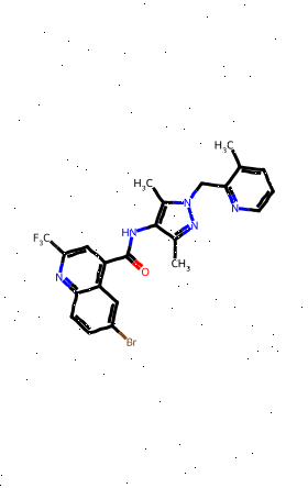 Cc1cccnc1Cn1nc(C)c(NC(=O)c2cc(C(F)(F)F)nc3ccc(Br)cc23)c1C